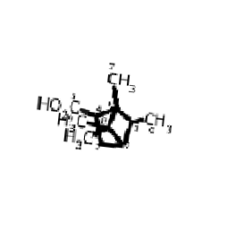 CC1C2CC(C(=O)O)C1(C)C2(C)C